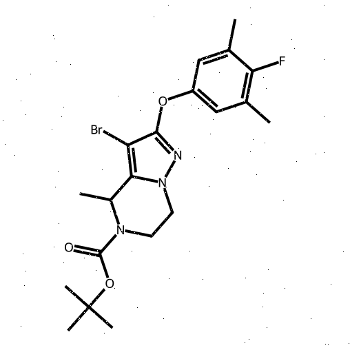 Cc1cc(Oc2nn3c(c2Br)C(C)N(C(=O)OC(C)(C)C)CC3)cc(C)c1F